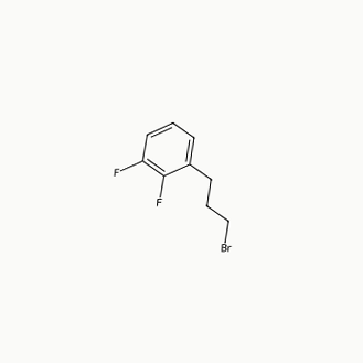 Fc1cccc(CCCBr)c1F